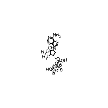 CC1[C@@H](COP(=O)(O)OP(=O)(O)OP(=O)(O)O)C[C@@H](n2cnc3c(N)ncnc32)C1(C)C